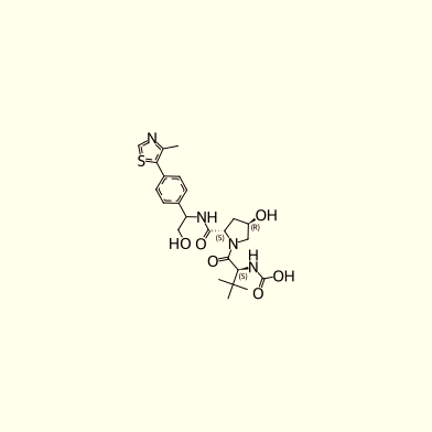 Cc1ncsc1-c1ccc(C(CO)NC(=O)[C@@H]2C[C@@H](O)CN2C(=O)[C@@H](NC(=O)O)C(C)(C)C)cc1